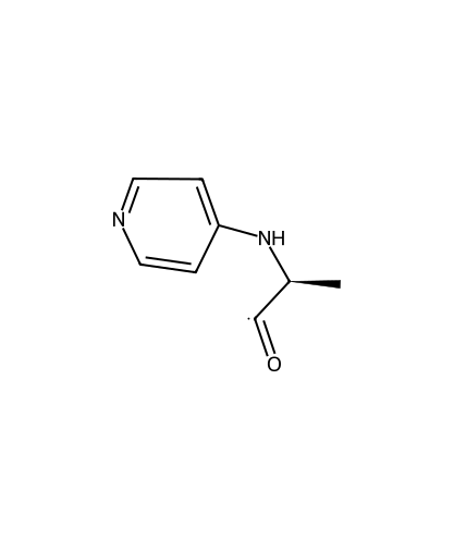 C[C@@H]([C]=O)Nc1ccncc1